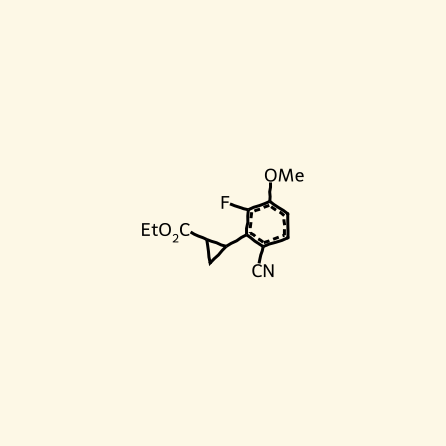 CCOC(=O)C1CC1c1c(C#N)ccc(OC)c1F